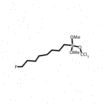 CO[Si](CCCCCCCCF)(OC)OC(Cl)(Cl)Cl